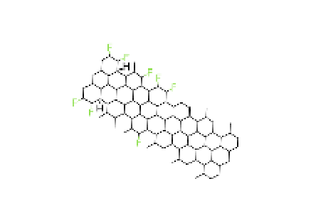 CC1CCC2CC3CCC(C)C4C5CC(C)C6C7CC(C)C8C9C(F)C(C)C%10C%11C(C)C(C)C%12C%13C%11C%11C%14C%10C9C9C%10C(C(F)C(F)C(C%15C(F)C(C)C%16C(C%15%11)C%13C%11C%13C(CC(F)C(F)[C@H]%13%12)CC%12CC(F)C(F)[C@H]%16C%12%11)C%10%14)C%10CCC%11C%12C(C)CC%13C1C2C(C34)C1C%13C%12C(C6C51)C1C%11C%10C9C8C71